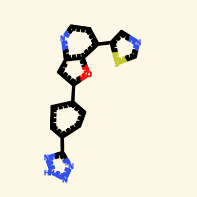 c1cc(-c2cncs2)c2oc(-c3ccc(-c4nn[nH]n4)cc3)cc2n1